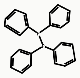 c1ccc(P(c2ccccc2)P(c2ccccc2)c2ccccc2)cc1